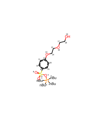 CCCCP(CCCC)(CCCC)(CCCC)OS(=O)(=O)c1ccc(OCCOCCO)cc1